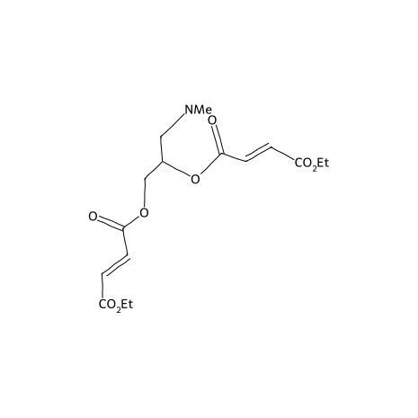 CCOC(=O)/C=C/C(=O)OCC(CNC)OC(=O)/C=C/C(=O)OCC